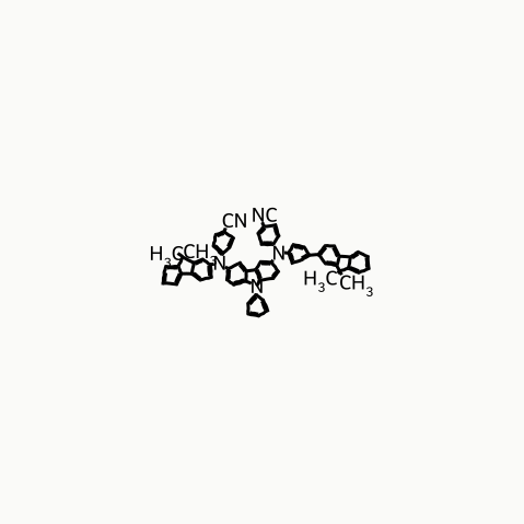 CC1(C)c2ccccc2-c2ccc(-c3ccc(N(c4ccc(C#N)cc4)c4ccc5c(c4)c4cc(N(c6ccc(C#N)cc6)c6ccc7c(c6)C(C)(C)c6ccccc6-7)ccc4n5-c4ccccc4)cc3)cc21